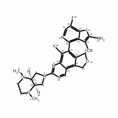 CN1CCN(C)[C@H]2CN(c3ncc4c5c(c(-c6ncc(F)c7sc(N)c(C#N)c67)c(F)c4n3)COC5)C[C@H]21